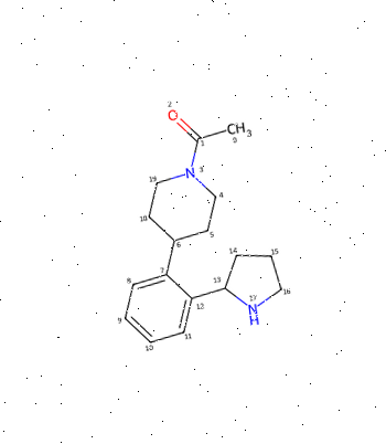 CC(=O)N1CCC(c2ccccc2C2CCCN2)CC1